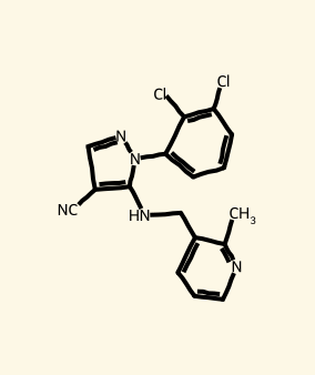 Cc1ncccc1CNc1c(C#N)cnn1-c1cccc(Cl)c1Cl